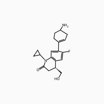 NC1CC=C(c2cc3c(cc2F)[C@@H](CO)CC(=O)N3C2CC2)CC1